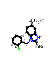 CCCCc1nc2cc(C(=O)OCC)ccc2n1Cc1ccccc1Cl